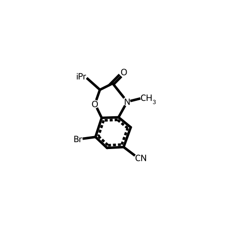 CC(C)C1Oc2c(Br)cc(C#N)cc2N(C)C1=O